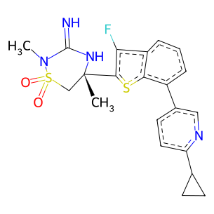 CN1C(=N)N[C@](C)(c2sc3c(-c4ccc(C5CC5)nc4)cccc3c2F)CS1(=O)=O